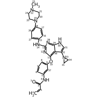 C=CC(=O)Nc1cccc(Oc2nc(Nc3ccc(N4CCN(C)CC4)cc3)nc3[nH]cc(N4CC4)c23)c1